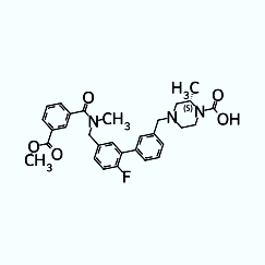 COC(=O)c1cccc(C(=O)N(C)Cc2ccc(F)c(-c3cccc(CN4CCN(C(=O)O)[C@@H](C)C4)c3)c2)c1